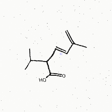 C=C(C)/C=C/C(C(=O)O)C(C)C